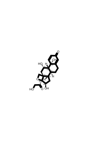 C[C@]12C=CC(=O)C=C1CC[C@@H]1[C@@H]2[C@@H](O)C[C@]23CO[C@]2(C(=O)CO)[C@H](O)C[C@@H]13